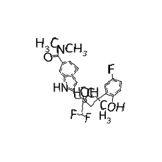 CN(C)C(=O)c1ccc2cc(CC(O)(CC(C)(C)c3cc(F)ccc3O)C(F)F)[nH]c2c1